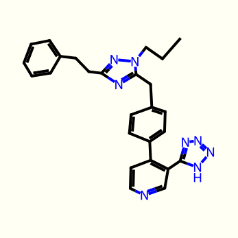 CCCn1nc(CCc2ccccc2)nc1Cc1ccc(-c2ccncc2-c2nnn[nH]2)cc1